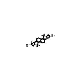 CC1(C)c2cc(Br)sc2-c2ccc3c4c(ccc3c21)-c1sc(Br)cc1C4(C)C